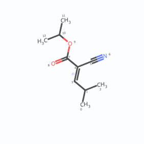 CC(C)/C=C(\C#N)C(=O)OC(C)C